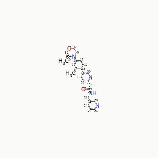 Cc1cc(N2CCOC[C@@H]2C)ccc1-c1ccc(CC(=O)NCc2cccnc2)nc1